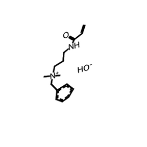 C=CC(=O)NCCC[N+](C)(C)Cc1ccccc1.[OH-]